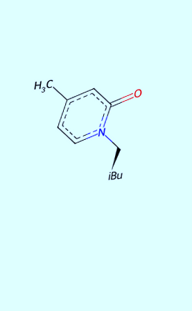 CC[C@H](C)Cn1ccc(C)cc1=O